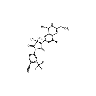 CCC1=Nc2c(F)cc(N3C(=S)N(c4ccc(C#N)c(C(F)(F)F)c4)C(=O)C3(C)C)cc2C(O)N1